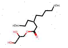 CCCCCCCCCCCCCCC(CCCCCCCCCCCC)CC(=O)OCC(O)CO